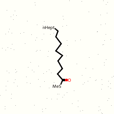 CCCCCCCCCCCCCCCC(=O)SC